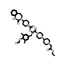 CCOC(=O)CN1CCC(N2CCN(C(=O)[C@@H](Cc3cc(C)c(OC=O)c(C)c3)OC(=O)N3CCC(N4CCc5ccccc5NC4=O)CC3)CC2)CC1